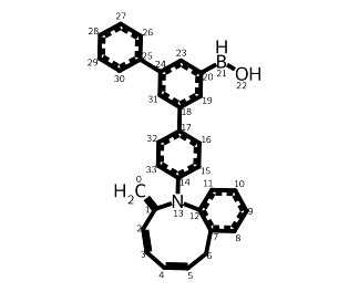 C=C1/C=C\C=C/Cc2ccccc2N1c1ccc(-c2cc(BO)cc(-c3ccccc3)c2)cc1